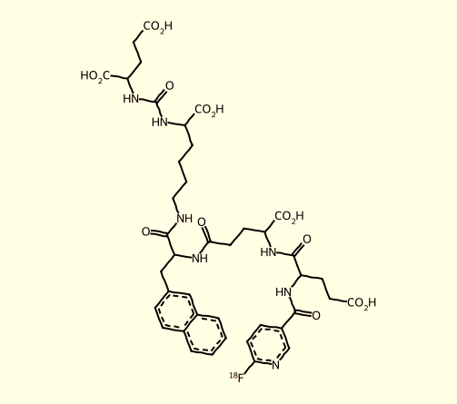 O=C(O)CCC(NC(=O)NC(CCCCNC(=O)C(Cc1ccc2ccccc2c1)NC(=O)CCC(NC(=O)C(CCC(=O)O)NC(=O)c1ccc([18F])nc1)C(=O)O)C(=O)O)C(=O)O